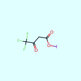 O=C(CC(=O)C(F)(F)F)OI